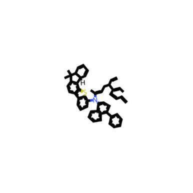 C=C/C=C\C(=C/C)C(C=C)C/C=C(\C)N(c1ccc(-c2ccccc2)c2ccccc12)c1cccc2c1sc1c3c(ccc12)C(C)(C)C1C=CC=C[C@H]31